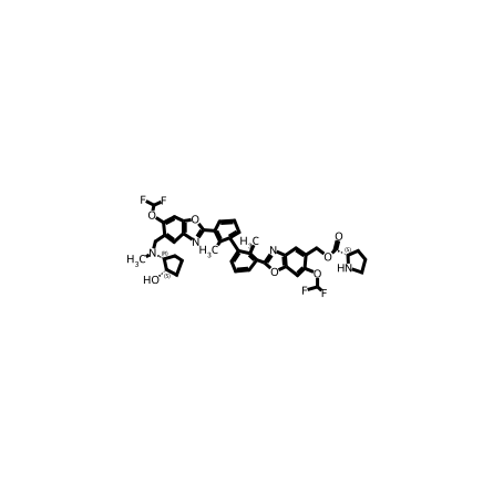 Cc1c(-c2nc3cc(COC(=O)[C@@H]4CCCN4)c(OC(F)F)cc3o2)cccc1-c1cccc(-c2nc3cc(CN(C)[C@@H]4CCC[C@@H]4O)c(OC(F)F)cc3o2)c1C